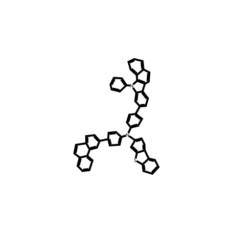 c1ccc(-n2c3cc(-c4ccc(N(c5ccc(-c6ccc7ccc8ccccc8c7c6)cc5)c5ccc6c(c5)sc5ccccc56)cc4)ccc3c3ccc4ccccc4c32)cc1